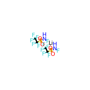 O=S(=O)(NF)C(F)(F)C(F)(F)F.O=S(=O)(NF)C(F)(F)C(F)(F)F.[Li]